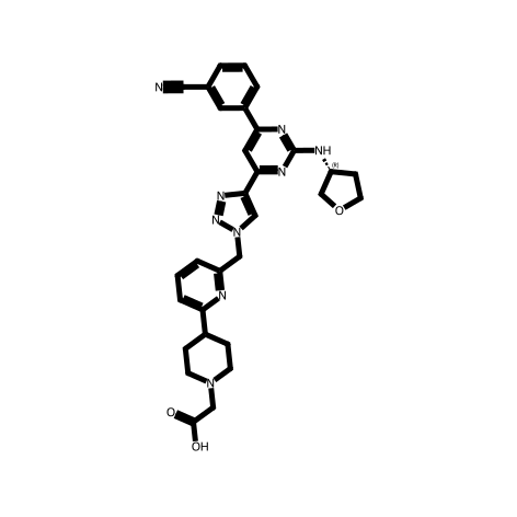 N#Cc1cccc(-c2cc(-c3cn(Cc4cccc(C5CCN(CC(=O)O)CC5)n4)nn3)nc(N[C@@H]3CCOC3)n2)c1